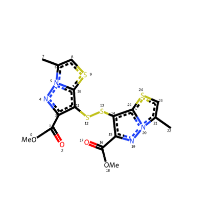 COC(=O)c1nn2c(C)csc2c1SSc1c(C(=O)OC)nn2c(C)csc12